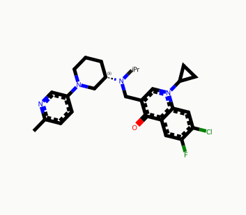 Cc1ccc(N2CCC[C@H](N(Cc3cn(C4CC4)c4cc(Cl)c(F)cc4c3=O)C(C)C)C2)cn1